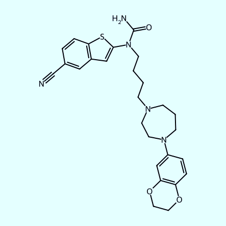 N#Cc1ccc2sc(N(CCCCN3CCCN(c4ccc5c(c4)OCCO5)CC3)C(N)=O)cc2c1